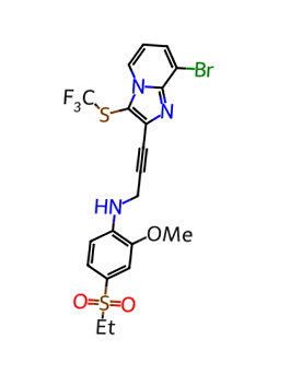 CCS(=O)(=O)c1ccc(NCC#Cc2nc3c(Br)cccn3c2SC(F)(F)F)c(OC)c1